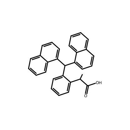 CC(C(=O)O)c1ccccc1C(c1cccc2ccccc12)c1cccc2ccccc12